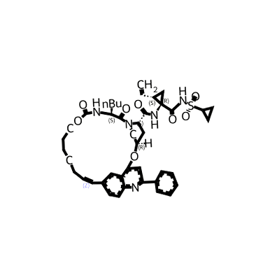 C=C[C@@H]1C[C@]1(NC(=O)[C@@H]1C[C@@H]2CN1C(=O)[C@H](CCCC)NC(=O)OCCCCC/C=C\c1ccc3nc(-c4ccccc4)cc(c3c1)O2)C(=O)NS(=O)(=O)C1CC1